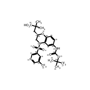 CC(C)(C[C@@H]1CN(S(=O)(=O)c2cncc(C(F)(F)F)c2)c2cc(NC(=O)OC(C)(C)C(F)(F)F)ccc2O1)C(=O)O